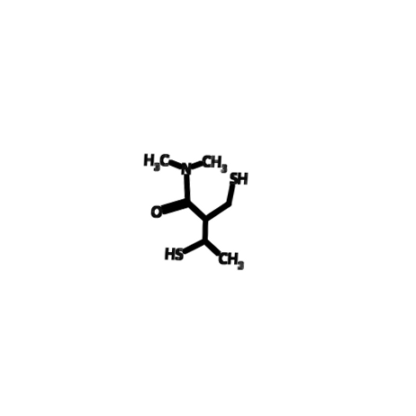 CC(S)C(CS)C(=O)N(C)C